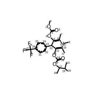 COC(=O)OC1=C(C)N(C)C(C)=C(OC(=O)OC(C)C(C)C)C1c1ccc(C(F)(F)F)cc1